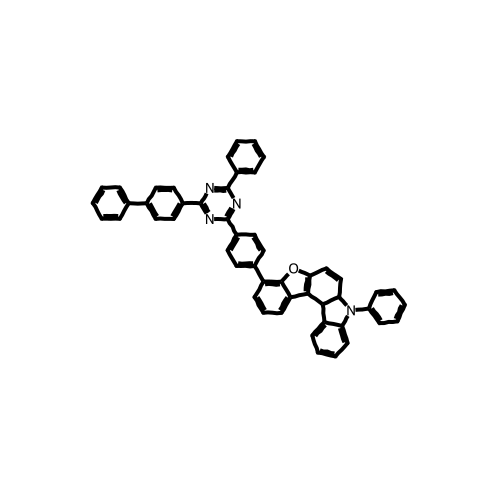 C1=CC2C(c3ccccc3N2c2ccccc2)c2c1oc1c(-c3ccc(-c4nc(-c5ccccc5)nc(-c5ccc(-c6ccccc6)cc5)n4)cc3)cccc21